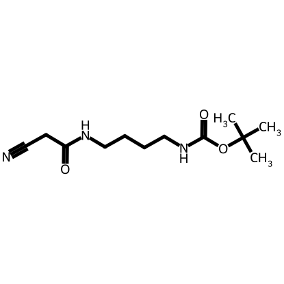 CC(C)(C)OC(=O)NCCCCNC(=O)CC#N